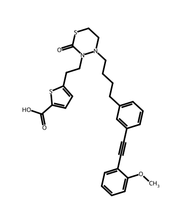 COc1ccccc1C#Cc1cccc(CCCCN2CCSC(=O)N2CCc2ccc(C(=O)O)s2)c1